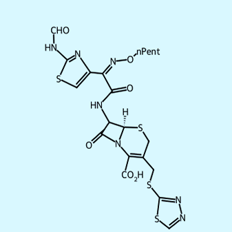 CCCCCO/N=C(\C(=O)NC1C(=O)N2C(C(=O)O)=C(CSc3nncs3)CS[C@H]12)c1csc(NC=O)n1